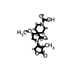 COC1CN(C2=C(C)C(=O)OC2)C(=O)C12CCN(C(=O)O)CC2